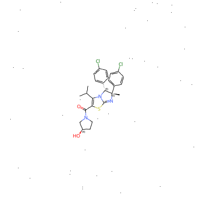 CC(C)C1=C(C(=O)N2CC[C@@H](O)C2)SC2=N[C@@](C)(c3ccc(Cl)cc3)[C@@H](c3ccc(Cl)cc3)N21